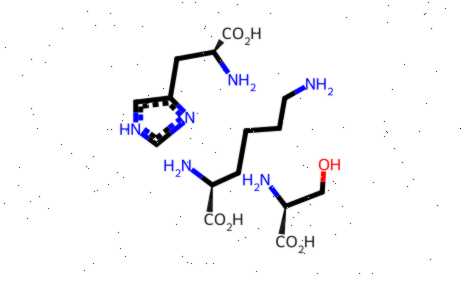 NCCCC[C@H](N)C(=O)O.N[C@@H](CO)C(=O)O.N[C@@H](Cc1c[nH]cn1)C(=O)O